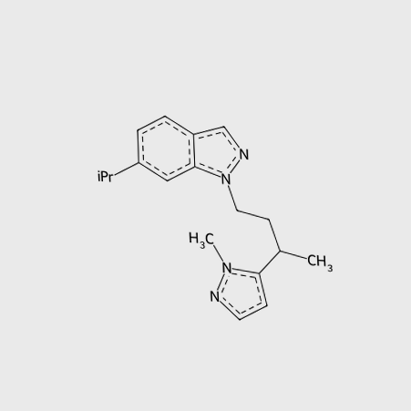 CC(C)c1ccc2cnn(CCC(C)c3ccnn3C)c2c1